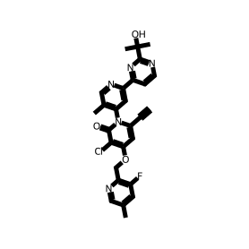 C#Cc1cc(OCc2ncc(C)cc2F)c(Cl)c(=O)n1-c1cc(-c2ccnc(C(C)(C)O)n2)ncc1C